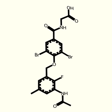 CC(=O)Nc1cc(C)cc(COc2c(Br)cc(C(=O)NCC(=O)O)cc2Br)c1F